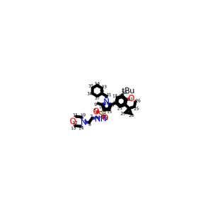 Cc1c(S(=O)(=O)NCCN2CCOCC2)cc(-c2cc(C(C)(C)C)c3c(c2)C2(CCO3)CC2)n1CC1CCCCC1